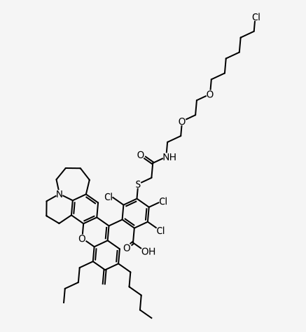 C=c1c(CCCCC)cc2c(c1CCCC)Oc1c(cc3c4c1CCCN4CCCC3)C=2c1c(Cl)c(SCC(=O)NCCOCCOCCCCCCCl)c(Cl)c(Cl)c1C(=O)O